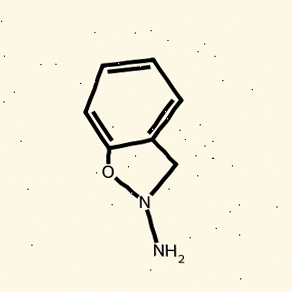 NN1Cc2ccccc2O1